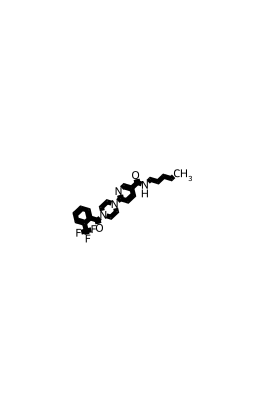 CCCCCNC(=O)c1ccc(N2CCN(C(=O)c3ccccc3C(F)(F)F)CC2)nc1